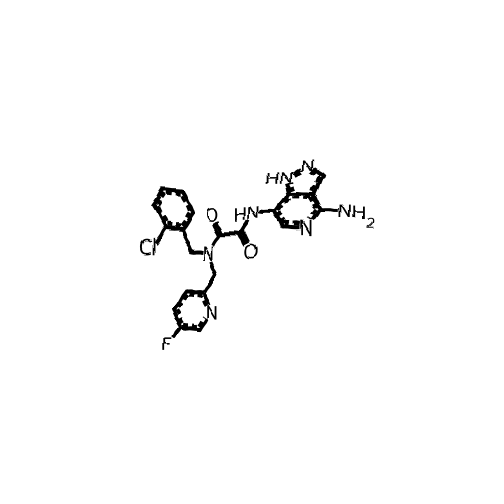 Nc1ncc(NC(=O)C(=O)N(Cc2ccc(F)cn2)Cc2ccccc2Cl)c2[nH]ncc12